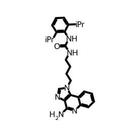 CC(C)c1cccc(C(C)C)c1NC(=O)NCCCCn1cnc2c(N)nc3ccccc3c21